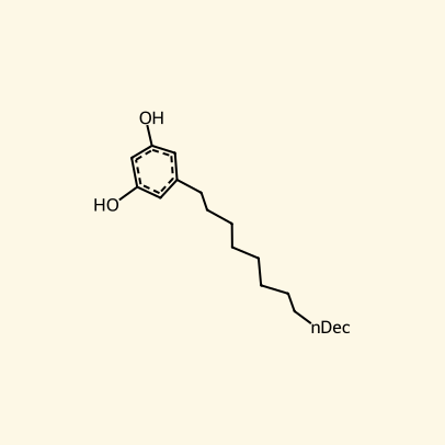 CCCCCCCCCCCCCCCCCCc1cc(O)cc(O)c1